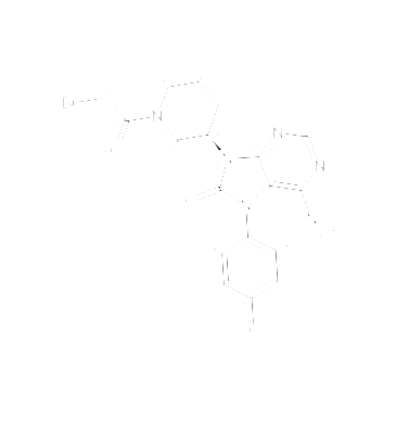 CC(C)(C)OC(=O)N1CCC[C@@H](n2c(=O)n(-c3ccc(Cl)cc3)c3c(N)ncnc32)C1